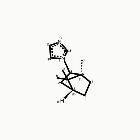 CC1(C)[C@@H]2CC[C@]1(C)C(n1ccnc1)C2